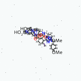 COc1ccc(CN(Cc2ccc(OC)cc2)S(=O)(=O)c2c(S(=O)(=O)NC[C@@H](CN(C(=O)O)C(C)(C)C)N(C(=O)O)C(C)(C)C)ccc(I)c2-c2nnn(Cc3ccc(OC)cc3)n2)cc1